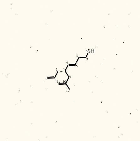 C=CC[C@H](/C=C/CCS)CC(=C)C